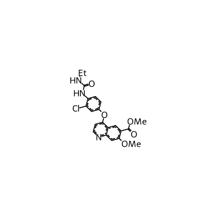 CCNC(=O)Nc1ccc(Oc2ccnc3cc(OC)c(C(=O)OC)cc23)cc1Cl